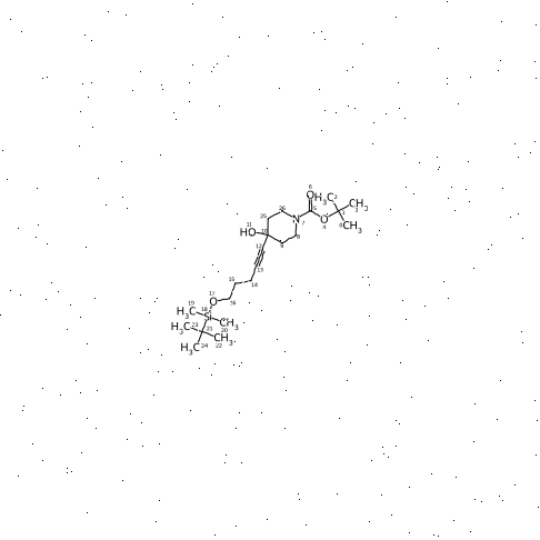 CC(C)(C)OC(=O)N1CCC(O)(C#CCCCO[Si](C)(C)C(C)(C)C)CC1